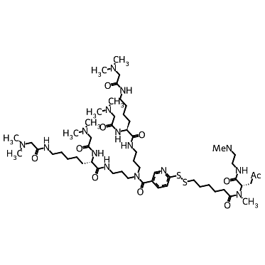 CNCCNC(=O)[C@H](CC(C)=O)N(C)C(=O)CCCCCSSc1ccc(C(=O)N(CCCNC(=O)[C@H](CCCCCNC(=O)CN(C)C)NC(=O)CN(C)C)CCCNC(=O)[C@H](CCCCNC(=O)CN(C)C)NC(=O)CN(C)C)cn1